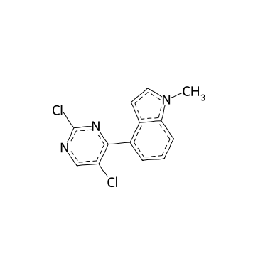 Cn1ccc2c(-c3nc(Cl)ncc3Cl)cccc21